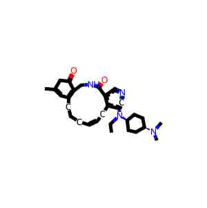 CCN(c1cncc2c1CC=CCCCC1=C(CNC2=O)C(=O)CC(C)=C1)[C@H]1CC[C@H](N(C)C)CC1